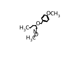 CCCC(C=NOC)OCc1ccc(OC)cc1